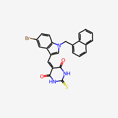 O=C1NC(=S)NC(=O)C1=Cc1cn(Cc2cccc3ccccc23)c2ccc(Br)cc12